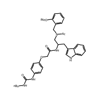 CCCCNC(=O)Nc1ccc(OCC(=O)NC(Cc2c[nH]c3ccccc23)CN(Cc2ccccc2OC)C(C)=O)cc1